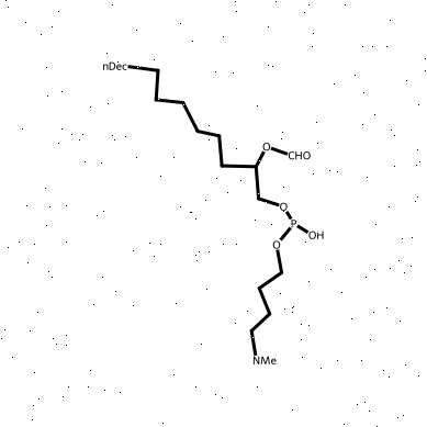 CCCCCCCCCCCCCCCCC(COP(O)OCCCCNC)OC=O